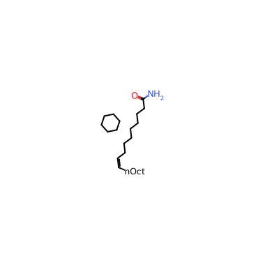 C1CCCCC1.CCCCCCCC/C=C\CCCCCCCC(N)=O